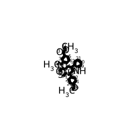 COC(=O)c1cccc(N(C)C(=O)C2Cc3c([nH]c4ccccc34)C(c3ccc(OC)cc3)N2C=S)c1